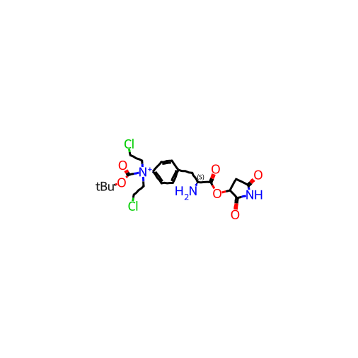 CC(C)(C)OC(=O)[N+](CCCl)(CCCl)c1ccc(C[C@H](N)C(=O)OC2CC(=O)NC2=O)cc1